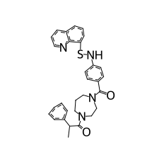 CC(C(=O)N1CCCN(C(=O)c2ccc(NSc3cccc4cccnc34)cc2)CC1)c1ccccc1